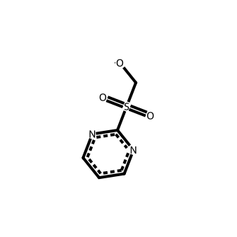 [O]CS(=O)(=O)c1ncccn1